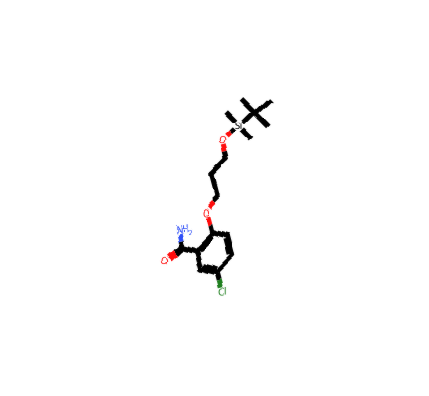 CC(C)(C)[Si](C)(C)OCCCOc1ccc(Cl)cc1C(N)=O